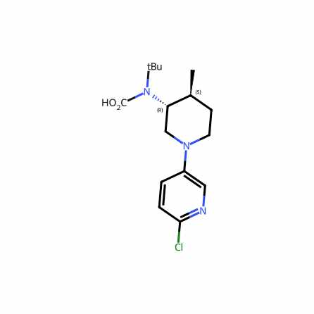 C[C@H]1CCN(c2ccc(Cl)nc2)C[C@@H]1N(C(=O)O)C(C)(C)C